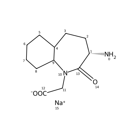 N[C@H]1CCC2CCCCC2N(CC(=O)[O-])C1=O.[Na+]